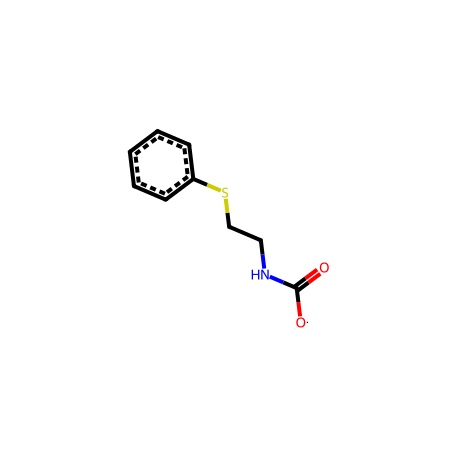 [O]C(=O)NCCSc1ccccc1